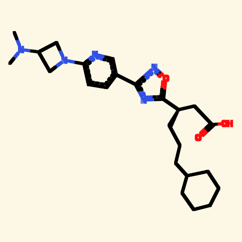 CN(C)C1CN(c2ccc(-c3noc([C@H](CCCC4CCCCC4)CC(=O)O)n3)cn2)C1